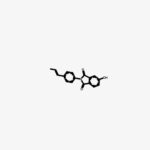 CC=Cc1ccc(N2C(=O)c3ccc(O)cc3C2=O)cc1